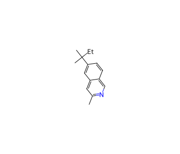 CCC(C)(C)c1ccc2cnc(C)cc2c1